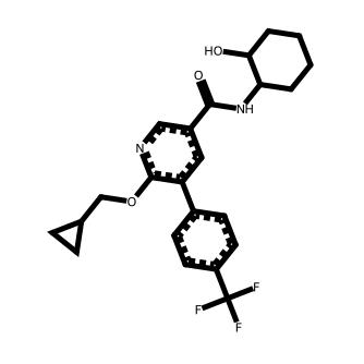 O=C(NC1CCCCC1O)c1cnc(OCC2CC2)c(-c2ccc(C(F)(F)F)cc2)c1